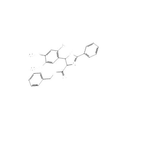 COc1cc(Br)c(C2OC(c3ccccc3)=NC2C(=O)OCc2ccccc2)cc1OC